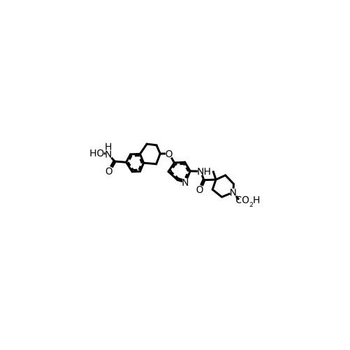 CC1(C(=O)Nc2cc(OC3CCc4cc(C(=O)NO)ccc4C3)ccn2)CCN(C(=O)O)CC1